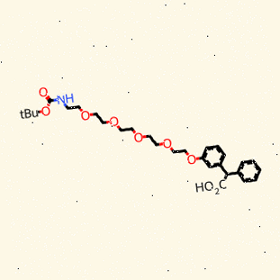 CC(C)(C)OC(=O)NCCOCCOCCOCCOCCOc1cccc(C(C(=O)O)c2ccccc2)c1